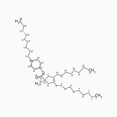 CCCCCCCCCCCCC(C)(CCCCCCCCCC)C(=O)Oc1ccc(CCCCCCCCC)cc1